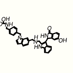 O=C(O)NCc1ccc(Cn2ccc3ccc(CNCc4[nH]c5ccccc5c4C4NC(=O)c5ccc(O)cc54)cc32)cc1